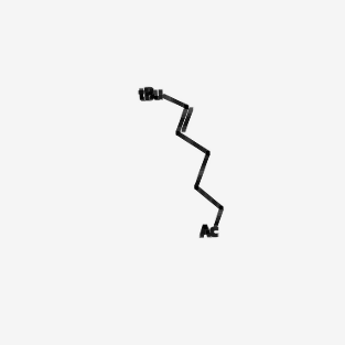 CC(=O)CCC/C=C/C(C)(C)C